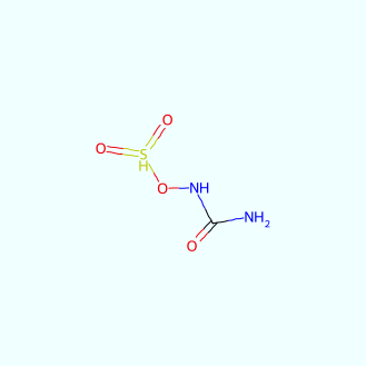 NC(=O)NO[SH](=O)=O